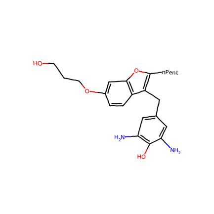 CCCCCc1oc2cc(OCCCO)ccc2c1Cc1cc(N)c(O)c(N)c1